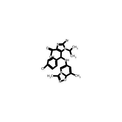 CC1=CC(NC(c2ccc(Cl)cc2)c2c(C(=O)O)nc(Br)n2C(C)C)=CN2C(C)=NOC12